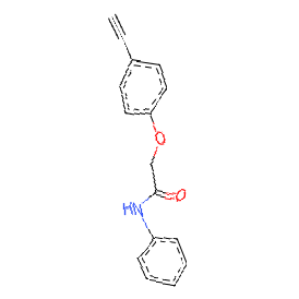 C#Cc1ccc(OCC(=O)Nc2ccccc2)cc1